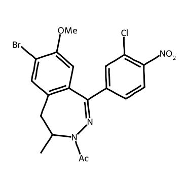 COc1cc2c(cc1Br)CC(C)N(C(C)=O)N=C2c1ccc([N+](=O)[O-])c(Cl)c1